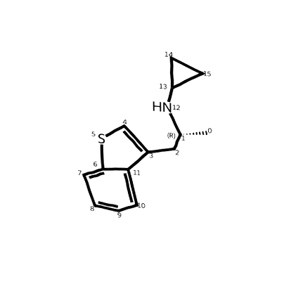 C[C@H](Cc1csc2ccccc12)NC1CC1